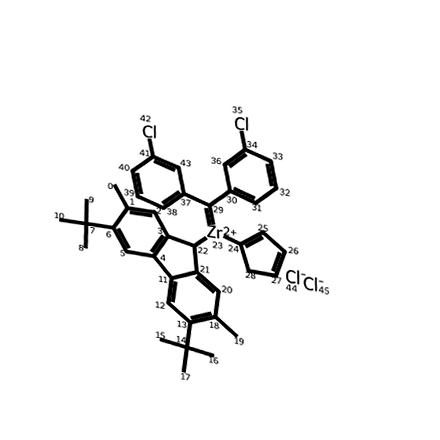 Cc1cc2c(cc1C(C)(C)C)-c1cc(C(C)(C)C)c(C)cc1[CH]2[Zr+2]([C]1=CC=CC1)=[C](c1cccc(Cl)c1)c1cccc(Cl)c1.[Cl-].[Cl-]